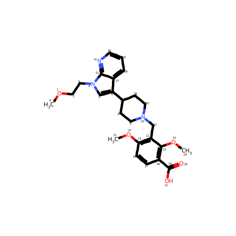 COCCn1cc(C2CCN(Cc3c(OC)ccc(C(=O)O)c3OC)CC2)c2cccnc21